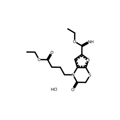 CCOC(=N)c1cc2c(s1)SCC(=O)N2CCCC(=O)OCC.Cl